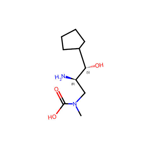 CN(C[C@@H](N)[C@@H](O)C1CCCC1)C(=O)O